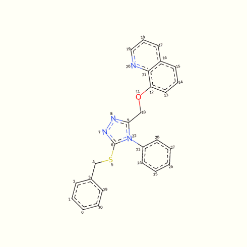 c1ccc(CSc2nnc(COc3cccc4cccnc34)n2-c2ccccc2)cc1